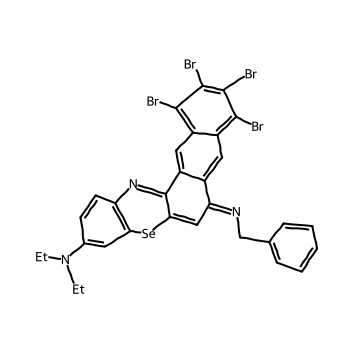 CCN(CC)c1ccc2nc3c4cc5c(Br)c(Br)c(Br)c(Br)c5cc4c(=NCc4ccccc4)cc-3[se]c2c1